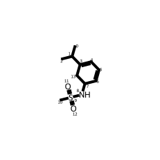 CC(C)C1=CC=CC(NS(C)(=O)=O)C1